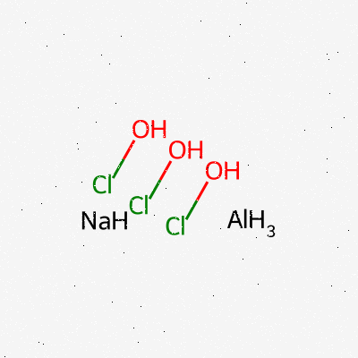 OCl.OCl.OCl.[AlH3].[NaH]